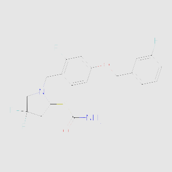 NC(=O)SC1CC(F)(F)CN1Cc1ccc(OCc2cccc(F)c2)cc1F